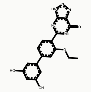 CCOc1cc(-c2cc(O)cc(O)c2)ccc1-c1nc2[nH]nnc2c(=O)[nH]1